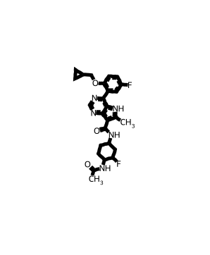 CC(=O)NC1CCC(NC(=O)c2c(C)[nH]c3c(-c4cc(F)ccc4OCC4CC4)ncnc23)CC1F